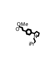 COC(=O)C=Cc1ccc(C2CCCN2CCC(C)C)cc1